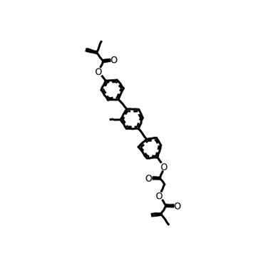 C=C(C)C(=O)OCC(=O)Oc1ccc(-c2ccc(-c3ccc(OC(=O)C(=C)C)cc3)c(C)c2)cc1